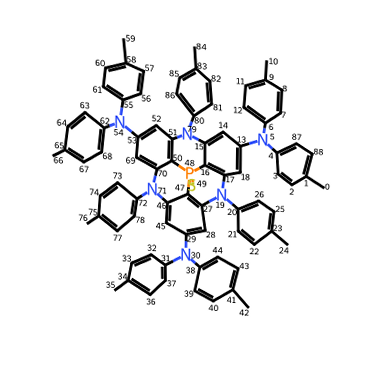 Cc1ccc(N(c2ccc(C)cc2)c2cc3c4c(c2)N(c2ccc(C)cc2)c2cc(N(c5ccc(C)cc5)c5ccc(C)cc5)cc5c2P4(=S)c2c(cc(N(c4ccc(C)cc4)c4ccc(C)cc4)cc2N5c2ccc(C)cc2)N3c2ccc(C)cc2)cc1